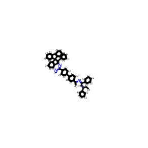 C=N/C(=N\C1=C(c2ccccc2)C2(c3ccccc31)c1ccccc1-c1ccccc12)c1ccc(-c2ccc(C(=C)/N=C(\C=C(/CC)c3ccccc3)c3ccccc3)cc2)cc1